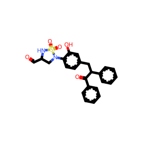 O=CC1CN(c2ccc(CC(C(=O)c3ccccc3)c3ccccc3)cc2O)S(=O)(=O)N1